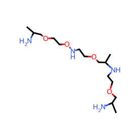 CC(N)COCCNC(C)COCCNOCCOCC(C)N